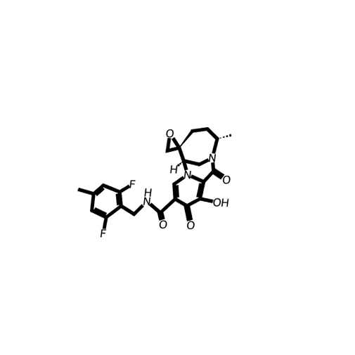 Cc1cc(F)c(CNC(=O)c2cn3c(c(O)c2=O)C(=O)N2C[C@@H]3[C@]3(CC[C@@H]2C)CO3)c(F)c1